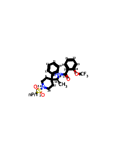 CCCS(=O)(=O)N1CCC(c2ccccc2)([C@H](C)NC(=O)c2ccccc2OC(F)(F)F)CC1